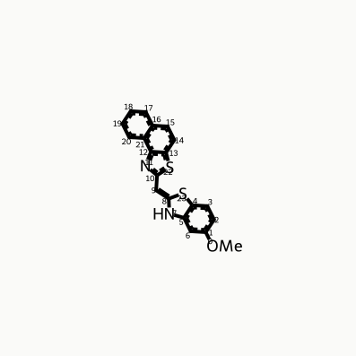 COc1ccc2c(c1)N/C(=C/c1nc3c(ccc4ccccc43)s1)S2